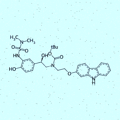 CN(C)S(=O)(=O)Nc1cc([C@@H](O)CN(CCOc2ccc3c(c2)[nH]c2ccccc23)C(=O)OC(C)(C)C)ccc1O